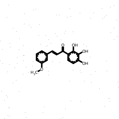 COc1cccc(C=CC(=O)c2ccc(O)c(O)c2O)c1